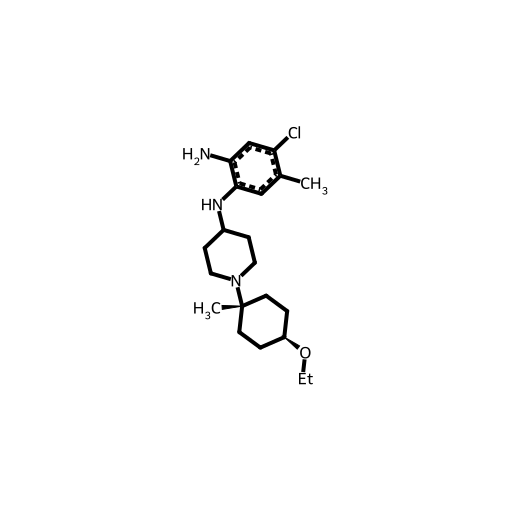 CCO[C@H]1CC[C@](C)(N2CCC(Nc3cc(C)c(Cl)cc3N)CC2)CC1